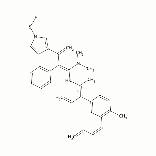 C=C/C=C\c1cc(/C(C=C)=C(\C)N/C(=C(/C(=C)c2ccn(SF)c2)c2ccccc2)N(C)C)ccc1C